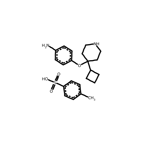 Cc1ccc(S(=O)(=O)O)cc1.Nc1ccc(OC2(C3CCC3)CCNCC2)cc1